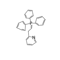 C(Cc1ccccn1)=P(c1ccccc1)(c1ccccc1)c1ccccc1